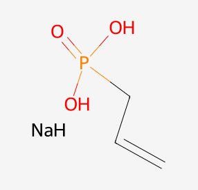 C=CCP(=O)(O)O.[NaH]